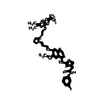 COc1cc2c(Nc3ncc(CC(=O)Nc4cccc(F)c4)s3)ncnc2cc1OCCCN1CCC[C@H]1CCOP(=O)(OC(C)(C)C)OC(C)(C)C